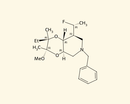 CC[C@@]1(C)O[C@@H]2[C@@H]([C@@H](C)F)CN(Cc3ccccc3)C[C@H]2O[C@]1(C)OC